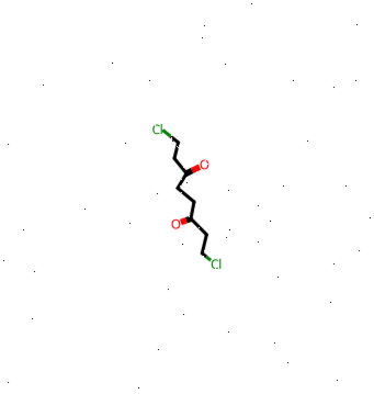 O=C(CCCl)CCC(=O)CCCl